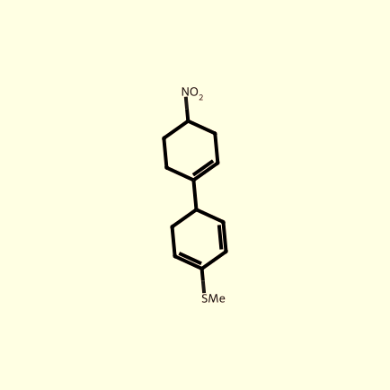 CSC1=CCC(C2=CCC([N+](=O)[O-])CC2)C=C1